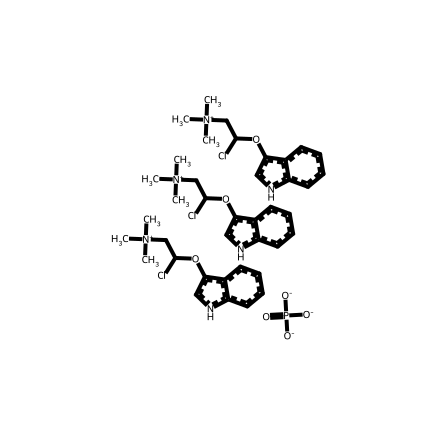 C[N+](C)(C)CC(Cl)Oc1c[nH]c2ccccc12.C[N+](C)(C)CC(Cl)Oc1c[nH]c2ccccc12.C[N+](C)(C)CC(Cl)Oc1c[nH]c2ccccc12.O=P([O-])([O-])[O-]